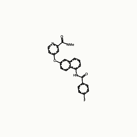 CNC(=O)c1cc(Oc2ccc3c(NC(=O)c4ccc(F)cc4)cccc3c2)ccn1